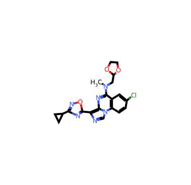 CN(CC1OCCO1)c1nc2c(-c3nc(C4CC4)no3)ncn2c2ccc(Cl)cc12